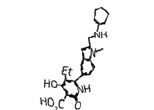 CCc1c(-c2ccc3c(c2)cc(CNC2CCCCC2)n3C)[nH]c(=O)c(C(=O)O)c1O